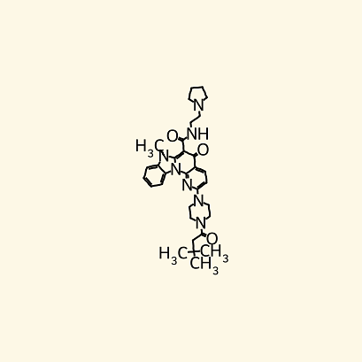 Cn1c2ccccc2n2c3nc(N4CCN(C(=O)CC(C)(C)C)CC4)ccc3c(=O)c(C(=O)NCCN3CCCC3)c12